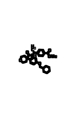 COC(=O)c1ccc([C@H](C)NC(=O)C2(c3ccc(OCC4CCCCC4)cc3)CCOCC2)cc1